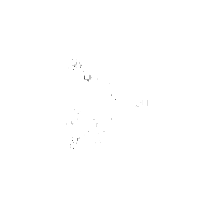 O.O.O.O.O=C([O-])C(O)C(O)C(=O)[O-].OCCN(CCO)CCO.[K+].[Na+]